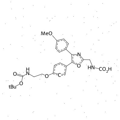 COc1ccc(-c2nc(CNC(=O)O)oc2-c2ccc(OCCNC(=O)OC(C)(C)C)cc2)cc1